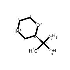 CC(C)(O)[C@H]1CNCCO1